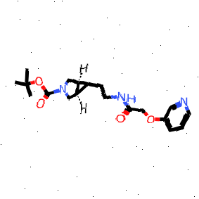 CC(C)(C)OC(=O)N1C[C@@H]2C(CCNC(=O)COc3cccnc3)[C@@H]2C1